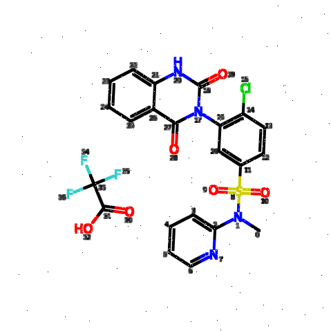 CN(c1ccccn1)S(=O)(=O)c1ccc(Cl)c(-n2c(=O)[nH]c3ccccc3c2=O)c1.O=C(O)C(F)(F)F